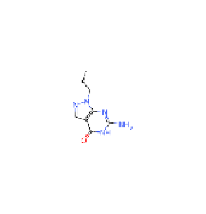 CCCn1ncc2c(=O)[nH]c(N)nc21